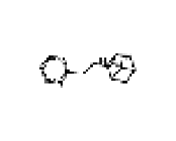 CC1(C)C2CC=C(CCc3ccccn3)C1C2